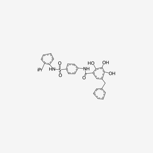 CC(C)c1ccccc1NS(=O)(=O)c1ccc(NC(=O)c2cc(Cc3ccccc3)c(O)c(O)c2O)cc1